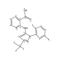 Cc1ccc(F)cc1-n1nc(C(C)(C)C)cc1Nc1ncccc1C(=O)O